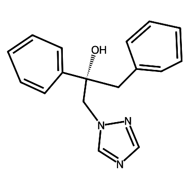 O[C@](Cc1ccccc1)(Cn1cncn1)c1ccccc1